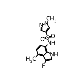 Cc1ccc(NS(=O)(=O)c2cnn(C)c2)c2[nH]cc(F)c12